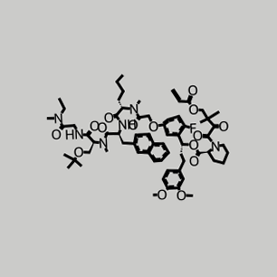 C=CC(=O)OCC(C)(C)C(=O)C(=O)N1CCCC[C@H]1C(=O)O[C@H](CCc1ccc(OC)c(OC)c1)c1cc(OCC(=O)N(C)[C@@H](CCCC)C(=O)N[C@@H](Cc2ccc3ccccc3c2)C(=O)N(C)[C@@H](COC(C)(C)C)C(=O)NCC(=O)N(C)CC)ccc1F